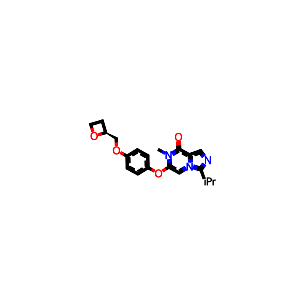 CC(C)c1ncc2c(=O)n(C)c(Oc3ccc(OC[C@@H]4CCO4)cc3)cn12